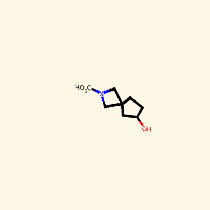 O=C(O)N1CC2(CCC(O)C2)C1